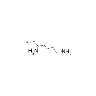 CC(C)C[C@@H](N)CCCCN